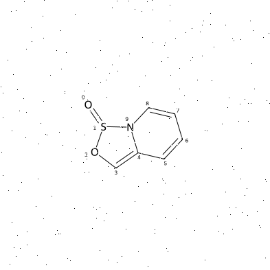 O=S1OC=C2C=CC=CN21